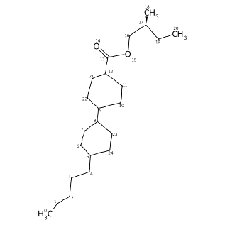 CCCCCC1CCC(C2CCC(C(=O)OC[C@@H](C)CC)CC2)CC1